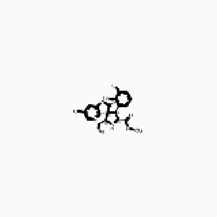 CC(C)(C)C[C@@H]1N[C@@H](C(=O)OC(C)(C)C)[C@H](c2cccc(Cl)c2F)[C@]12C(=O)Nc1cc(Cl)cnc12